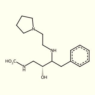 O=C(O)NC[C@@H](O)C(Cc1ccccc1)NCCN1CCCC1